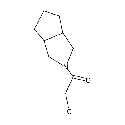 O=C(CCl)N1CC2CCCC2C1